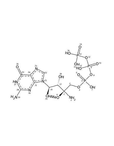 CO[C@](N)(COP(=O)(O)OP(=O)(O)OP(=O)(O)O)[C@@H](O)[C@@H](O)n1cnc2c(=O)[nH]c(N)nc21